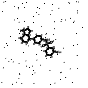 O=S(=O)(Nc1ccc(-c2ncnc3[nH]ccc23)cc1)c1cccc(F)c1